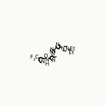 CCC(CC)N1CCN(c2cncc(-c3cn(-c4cc(NC(=O)c5cc(C(F)(F)F)ccn5)cnc4C)nn3)c2)CC1